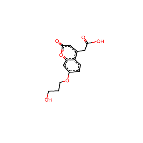 O=C(O)Cc1cc(=O)oc2cc(OCCCO)ccc12